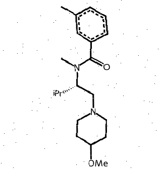 COC1CCN(C[C@H](C(C)C)N(C)C(=O)c2cccc(C)c2)CC1